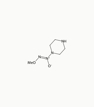 CON=[N+]([O-])N1CCNCC1